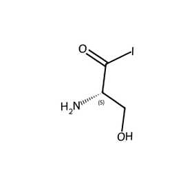 N[C@@H](CO)C(=O)I